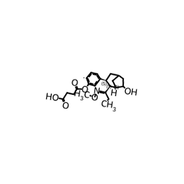 CCC(=NOC)[C@H]1[C@@H](c2cc[c]c(OC(=O)CCC(=O)O)c2)CC2CC(O)[C@@H]1C2